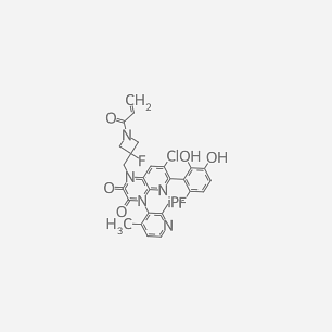 C=CC(=O)N1CC(F)(Cn2c(=O)c(=O)n(-c3c(C)ccnc3C(C)C)c3nc(-c4c(F)ccc(O)c4O)c(Cl)cc32)C1